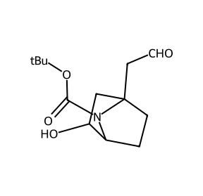 CC(C)(C)OC(=O)N1C2CCC1(CC=O)CC2O